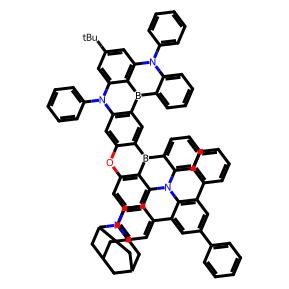 CC(C)(C)c1cc2c3c(c1)N(c1ccccc1)c1cc4c(cc1B3c1ccccc1N2c1ccccc1)B1c2ccccc2N(c2c(-c3ccccc3)cc(-c3ccccc3)cc2-c2ccccc2)c2cc(N3C5CC6CC(C5)CC3C6)cc(c21)O4